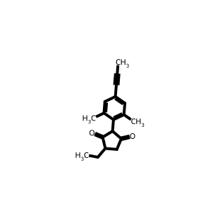 CC#Cc1cc(C)c(C2C(=O)CC(CC)C2=O)c(C)c1